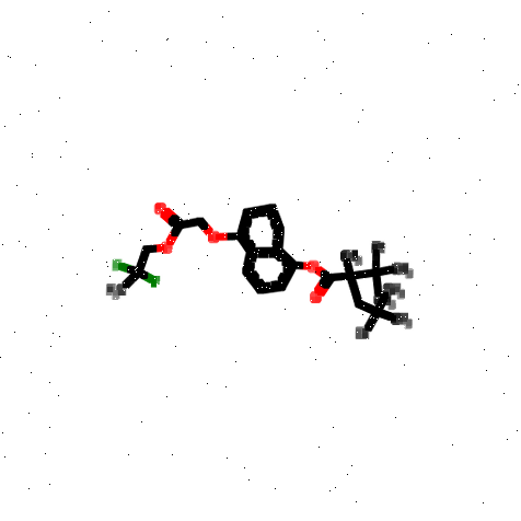 CCC(C)(C)CC(C)(C(=O)Oc1cccc2c(OCC(=O)OCC(F)(F)C(F)(F)F)cccc12)C(C)(C)CC